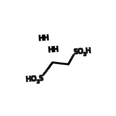 O=S(=O)(O)CCS(=O)(=O)O.[HH].[HH]